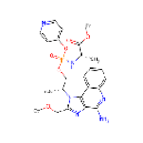 CCCC[C@H](CO[P@](=O)(N[C@@H](C)C(=O)OC(C)C)Oc1ccncc1)n1c(COCC)nc2c(N)nc3ccccc3c21